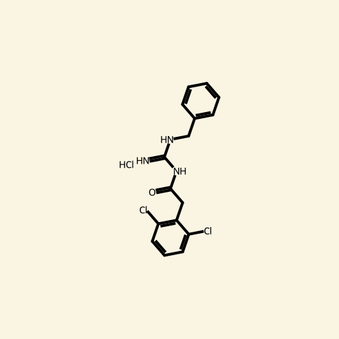 Cl.N=C(NCc1ccccc1)NC(=O)Cc1c(Cl)cccc1Cl